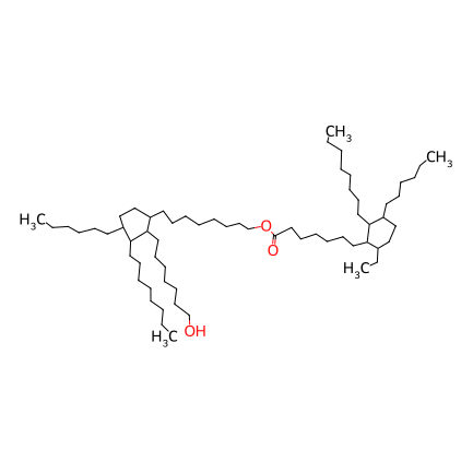 CCCCCCCCC1C(CCCCCC)CCC(CC)C1CCCCCCC(=O)OCCCCCCCCC1CCC(CCCCCC)C(CCCCCCCC)C1CCCCCCCO